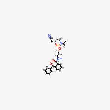 CC(C)N(C(C)C)P(OCCC#N)OCCCNC(=O)c1ccccc1C(=O)c1ccccc1